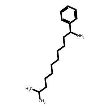 CC(C)CCCCCCCCC(N)c1ccccc1